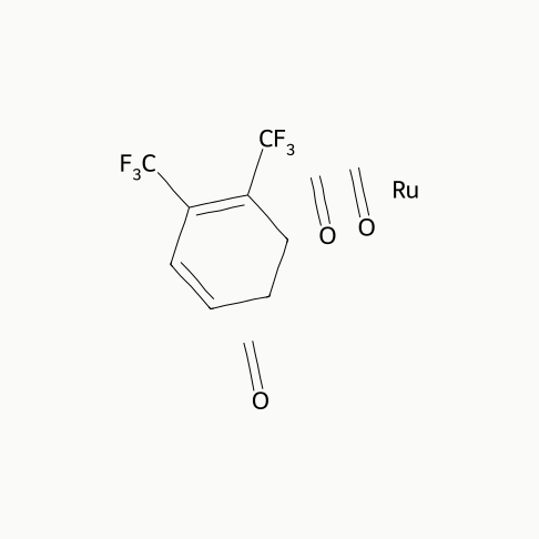 C=O.C=O.C=O.FC(F)(F)C1=C(C(F)(F)F)CCC=C1.[Ru]